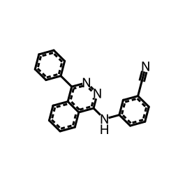 N#Cc1cccc(Nc2nnc(-c3ccccc3)c3ccccc23)c1